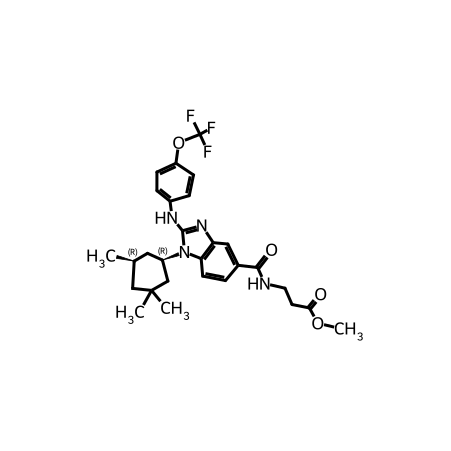 COC(=O)CCNC(=O)c1ccc2c(c1)nc(Nc1ccc(OC(F)(F)F)cc1)n2[C@@H]1C[C@H](C)CC(C)(C)C1